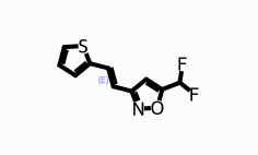 FC(F)c1cc(/C=C/c2cccs2)no1